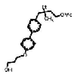 CCC(C)(CCOC)Cc1ccc(-c2ccc(OCCCO)cc2)cc1